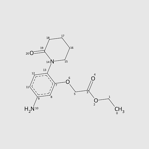 CCOC(=O)COc1cc(N)ccc1N1CCCCC1=O